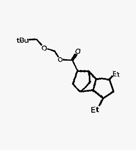 CCC1CC(CC)C2C3CC(CC3C(=O)OCOCC(C)(C)C)C12